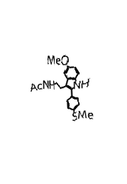 COc1ccc2[nH]c(-c3ccc(SC)cc3)c(CCNC(C)=O)c2c1